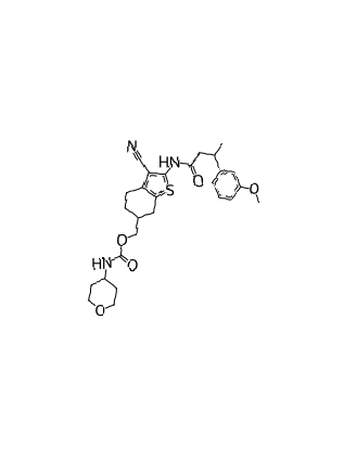 COc1cccc(C(C)CC(=O)Nc2sc3c(c2C#N)CCC(COC(=O)NC2CCOCC2)C3)c1